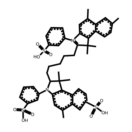 Cc1ccc2c3c(cc(C)c2c1)[N+](c1cccc(S(=O)(=O)O)c1)=C(CCCCCC1N(c2cccc(S(=O)(=O)O)c2)c2cc(C)c4cc(S(=O)(=O)O)ccc4c2C1(C)C)C3(C)C